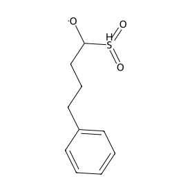 [O]C(CCCc1ccccc1)[SH](=O)=O